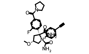 C#Cc1ccc([N+]2(C(N)=O)C[C@H](OC)C[C@]2(C(N)=O)c2ccc(C(=O)N3CCCC3)cc2F)cc1